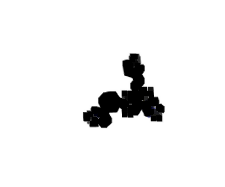 C=C/C(=C\N(C)C)c1cccc(-c2ncc(C(/C=N\C)=C/C)c(NCCC3CCN(C)C3)n2)c1